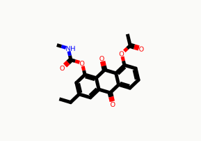 CCc1cc(OC(=O)NC)c2c(c1)C(=O)c1cccc(OC(C)=O)c1C2=O